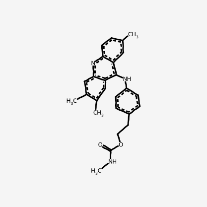 CNC(=O)OCCc1ccc(Nc2c3cc(C)ccc3nc3cc(C)c(C)cc23)cc1